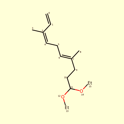 C=CC(C)=CCC=C(C)CCC(OCC)OCC